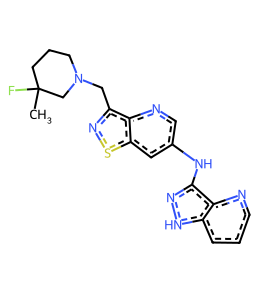 CC1(F)CCCN(Cc2nsc3cc(Nc4n[nH]c5cccnc45)cnc23)C1